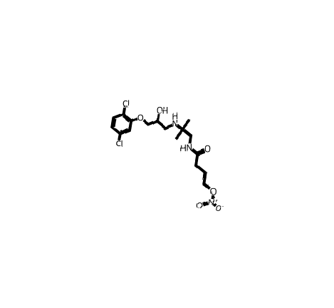 CC(C)(CNC(=O)CCCO[N+](=O)[O-])NCC(O)COc1cc(Cl)ccc1Cl